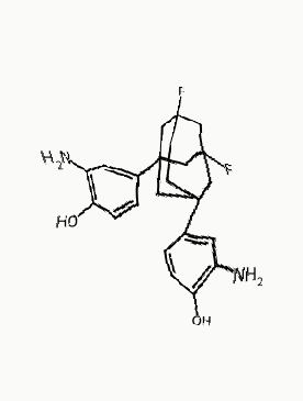 Nc1cc(C23CC4(F)CC(F)(C2)CC(c2ccc(O)c(N)c2)(C4)C3)ccc1O